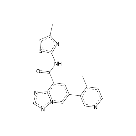 Cc1csc(NC(=O)c2cc(-c3cnccc3C)cn3ncnc23)n1